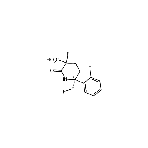 O=C(O)C1(F)CC[C@@](CF)(c2ccccc2F)NC1=O